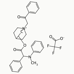 CN(c1ccccc1)C(C(=O)OC1C[N+]2(CC(=O)c3ccccc3)CCC1CC2)c1ccccc1.O=C([O-])C(F)(F)F